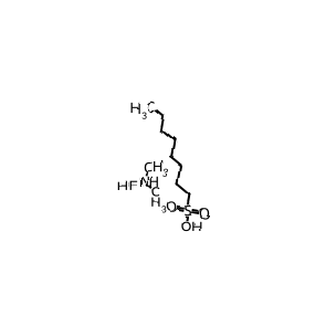 CCCCCCCCS(=O)(=O)O.CNC.F